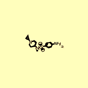 CN(C1CCN(C2CC2)CC1)S(=O)(=O)c1ccc(N)cc1